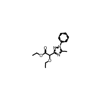 CCOC(=O)C(OCC)c1nc(C)n(-c2ccccc2)n1